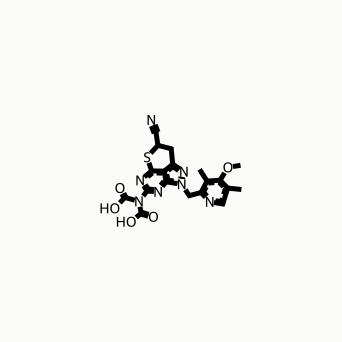 COc1c(C)cnc(Cn2nc3c4c(nc(N(C(=O)O)C(=O)O)nc42)SC(C#N)C3)c1C